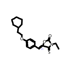 CCN1C(=O)O/C(=C\c2ccc(OCCC3CCCCC3)cc2)C1=S